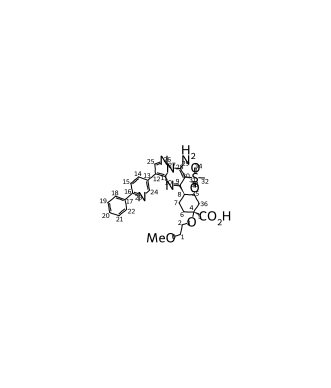 COCCO[C@]1(C(=O)O)CC[C@@H](c2nc3c(-c4ccc(-c5ccccc5)nc4)cnn3c(N)c2S(C)(=O)=O)CC1